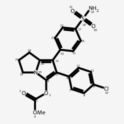 COC(=O)Oc1c(-c2ccc(Cl)cc2)c(-c2ccc(S(N)(=O)=O)cc2)c2n1CCC2